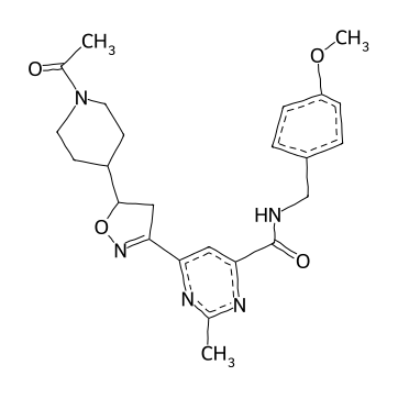 COc1ccc(CNC(=O)c2cc(C3=NOC(C4CCN(C(C)=O)CC4)C3)nc(C)n2)cc1